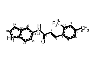 O=C(C=Cc1ccc(C(F)(F)F)cc1C(F)(F)F)Nc1ccc2[nH]ccc2c1